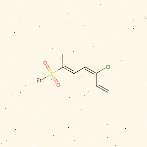 C=C/C(Cl)=C\C=C(/C)S(=O)(=O)CC